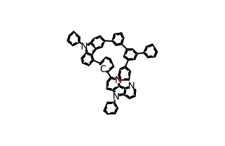 c1ccc(-c2cc(-c3ccccc3)cc(-c3cccc(-c4ccc5c(c4)c4c(-c6cccc(-c7ccc8c(n7)c7ncccc7n8-c7ccccc7)c6)cccc4n5-c4ccccc4)c3)c2)cc1